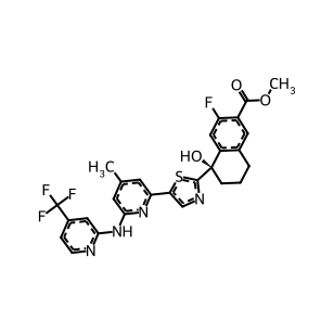 COC(=O)c1cc2c(cc1F)[C@@](O)(c1ncc(-c3cc(C)cc(Nc4cc(C(F)(F)F)ccn4)n3)s1)CCC2